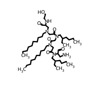 CCCCCCCCCCN(CC(=O)N(CC(=O)N(CCCCCCCCCC)CC(=O)N(CC(CC)CCCC)C(C=O)CN)CC(CC)CCCC)CC(C=O)NCCO